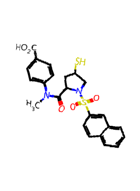 CN(C(=O)C1CC(S)CN1S(=O)(=O)c1ccc2ccccc2c1)c1ccc(C(=O)O)cc1